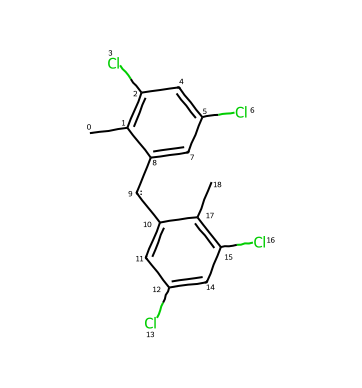 Cc1c(Cl)cc(Cl)cc1[C]c1cc(Cl)cc(Cl)c1C